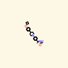 CC(=O)N[C@@H](C)c1ccc(N2CCC(c3ccc(OC4CCC4)cc3)CC2)cc1